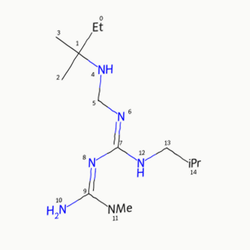 CCC(C)(C)NC/N=C(\N=C(\N)NC)NCC(C)C